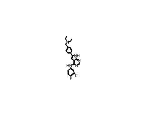 CCN(CC)Cc1ccc(-c2cc3c(Nc4ccc(F)c(Cl)c4)ncnc3[nH]2)cc1